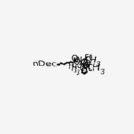 CCCCCCCCCCCCCCCCCC(=O)O/N=C1/CC(C)(CC)N(OC(C)c2ccccc2)C(C)(CC)C1C